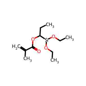 C=C(C)C(=O)OC(CC)[Si](OCC)OCC